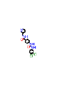 O=C(Nc1ccc(C(=O)NCc2cccnc2)cc1)Nc1ccc(Cl)c(Cl)c1